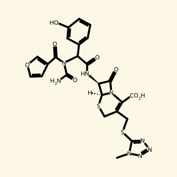 Cn1nnnc1SCC1=C(C(=O)O)N2C(=O)[C@H](NC(=O)C(c3cccc(O)c3)N(C(N)=O)C(=O)c3ccoc3)[C@@H]2SC1